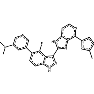 Cc1ccc(-c2nccc3[nH]c(-c4n[nH]c5ccc(-c6cncc(N(C)C)c6)c(F)c45)nc23)s1